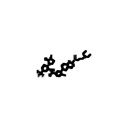 CCN(CC)CCCNc1ncc2cc(-c3cc(C(=O)Nc4cc(C(F)(F)F)ccc4N4CCN(C)C4=O)ccc3C)ccc2n1